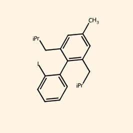 Cc1cc(CC(C)C)c(-c2ccccc2I)c(CC(C)C)c1